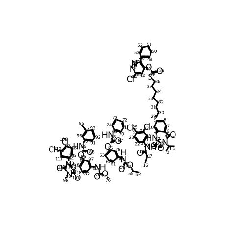 CC(C)N1C(=O)c2ccccc2NS1(=O)=O.CCC(=O)Nc1ccc(Cl)c(Cl)c1.CCCCCCCCSC(=O)Oc1cc(Cl)nnc1-c1ccccc1.CCOC(=O)Nc1cccc(OC(=O)Nc2ccccc2)c1.COC(=O)Nc1cccc(OC(=O)Nc2cccc(C)c2)c1.Cn1c(=O)on(-c2ccc(Cl)c(Cl)c2)c1=O